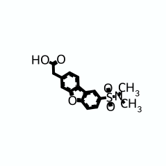 CN(C)S(=O)(=O)c1ccc2oc3cc(CC(=O)O)ccc3c2c1